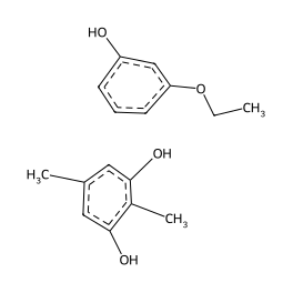 CCOc1cccc(O)c1.Cc1cc(O)c(C)c(O)c1